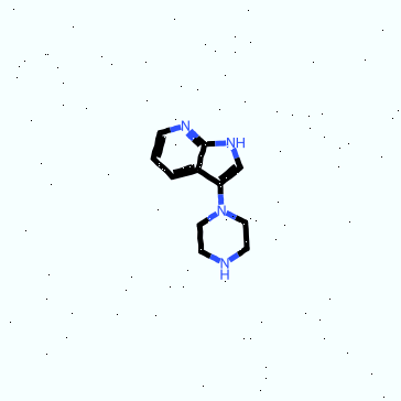 c1cnc2[nH]cc(N3CCNCC3)c2c1